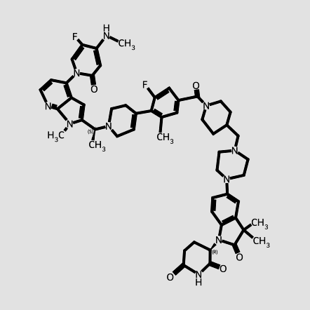 CNc1cc(=O)n(-c2ccnc3c2cc([C@H](C)N2CC=C(c4c(C)cc(C(=O)N5CCC(CN6CCN(c7ccc8c(c7)C(C)(C)C(=O)N8[C@@H]7CCC(=O)NC7=O)CC6)CC5)cc4F)CC2)n3C)cc1F